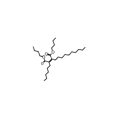 CCCCCCCCCC/C(C(=O)OCCCC)=C(\CCCCCC)C(=O)OCCCC